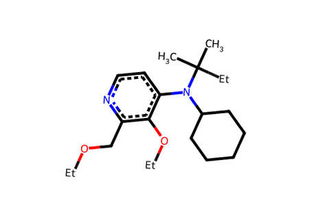 CCOCc1nccc(N(C2CCCCC2)C(C)(C)CC)c1OCC